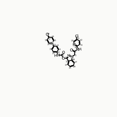 O=C(Cn1nc(OC(=O)Nc2ccc(-n3ccc(=O)cc3)cc2)c2ccccc21)Nc1ccc(Cl)cn1